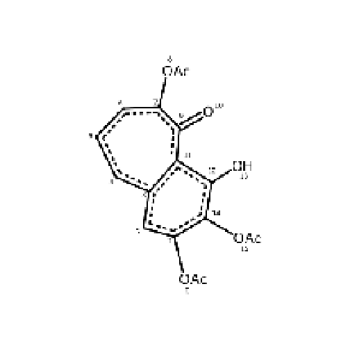 CC(=O)Oc1cc2cccc(OC(C)=O)c(=O)c2c(O)c1OC(C)=O